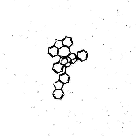 C1=CC2Oc3cc(-c4nc(-c5ccccc5)nc(-c5cccc6oc7cccc(-c8cccc9c8oc8ccccc89)c7c56)n4)ccc3C2C=C1